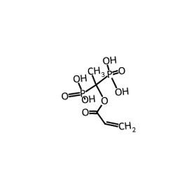 C=CC(=O)OC(C)(P(=O)(O)O)P(=O)(O)O